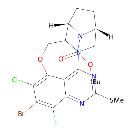 CSc1nc2c3c(c(Cl)c(Br)c(F)c3n1)OCC1[C@@H]3CC[C@H](CN21)N3C(=O)OC(C)(C)C